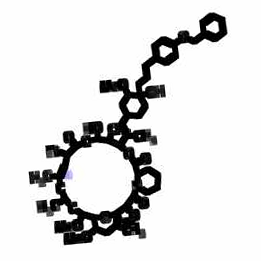 CCC1/C=C(\C)CC(C)CC(OC)C2OC(O)(C(=O)C(=O)N3CCCCC3C(=O)OC(C(C)=CC3CCC(O)(CC=Cc4ccc(OCc5ccccc5)cc4)C(OC)C3)C(C)C(O)CC1=O)C(C)CC2OC